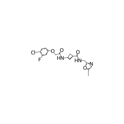 Cc1cnc(CNC(=O)C23CC(NC(=O)COc4ccc(Cl)c(F)c4)(C2)C3)o1